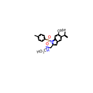 C=C(C)c1cc2cc(CNC(=O)O)n(S(=O)(=O)c3ccc(C)cc3)c2cc1OC